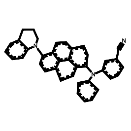 N#Cc1cccc(N(c2ccccc2)c2ccc3ccc4c(N5CCCc6ccccc65)ccc5ccc2c3c54)c1